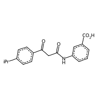 CC(C)c1ccc(C(=O)CC(=O)Nc2cccc(C(=O)O)c2)cc1